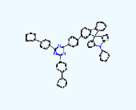 c1ccc(-c2ccc(-c3nc(-c4ccc(-c5ccccc5)cc4)nc(-c4ccc(-c5ccc6c(c5)C5(c7ccccc7-6)c6ccccc6N(c6ccccc6)c6ccccc65)cc4)n3)cc2)cc1